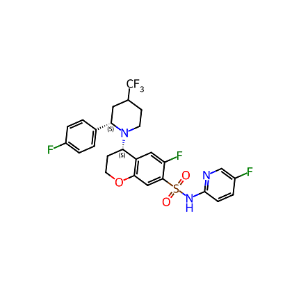 O=S(=O)(Nc1ccc(F)cn1)c1cc2c(cc1F)[C@@H](N1CCC(C(F)(F)F)C[C@H]1c1ccc(F)cc1)CCO2